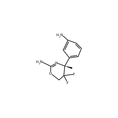 C[C@]1(c2cccc(N)c2)N=C(N)OCC1(F)F